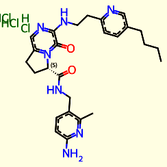 CCCCc1ccc(CCNc2ncc3n(c2=O)[C@H](C(=O)NCc2ccc(N)nc2C)CC3)nc1.Cl.Cl.Cl